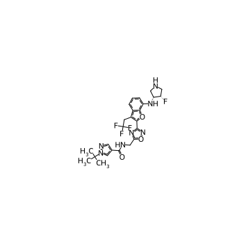 CC(C)(C)n1cc(C(=O)NCc2nc(-c3oc4c(N[C@@H]5CNC[C@@H]5F)cccc4c3CC(F)(F)F)no2)cn1